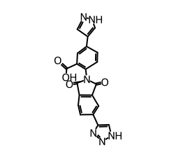 O=C(O)c1cc(-c2cn[nH]c2)ccc1N1C(=O)c2ccc(-c3c[nH]nn3)cc2C1=O